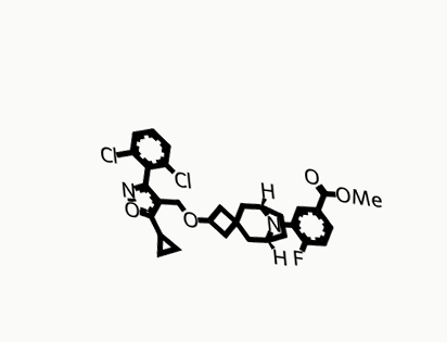 COC(=O)c1ccc(F)c(N2[C@@H]3CC[C@H]2CC2(CC(OCc4c(-c5c(Cl)cccc5Cl)noc4C4CC4)C2)C3)c1